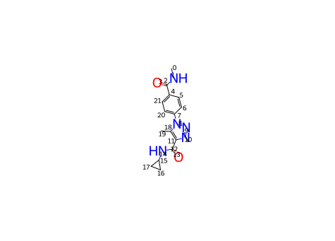 CNC(=O)c1ccc(-n2nnc(C(=O)NC3CC3)c2C)cc1